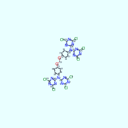 Clc1nc(Cl)nc(N(c2ccc(OCOc3ccc(N(c4nc(Cl)nc(Cl)n4)c4nc(Cl)nc(Cl)n4)cc3)cc2)c2nc(Cl)nc(Cl)n2)n1